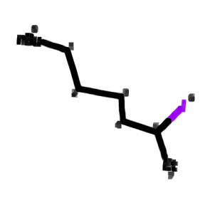 CCCCCCCCC(I)CC